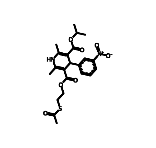 CC(=O)SCCOC(=O)C1=C(C)NC(C)=C(C(=O)OC(C)C)C1c1cccc([N+](=O)[O-])c1